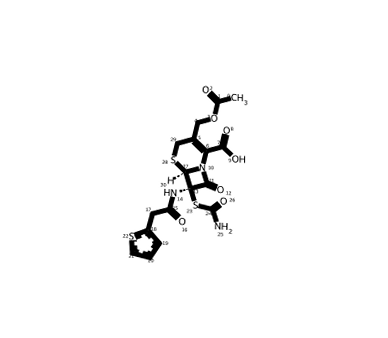 CC(=O)OCC1=C(C(=O)O)N2C(=O)[C@@](NC(=O)Cc3cccs3)(SC(N)=O)[C@H]2SC1